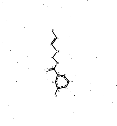 CC=COCCC(=O)c1cccc(C)c1